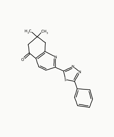 CC1(C)CC(=O)c2ccc(-c3nnc(-c4ccccc4)s3)nc2C1